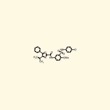 C=C(C)c1nc(C(=O)Nc2ccc(OC)c(S(=O)(=O)Nc3ccc(Cl)cc3)c2)oc1-c1ccccc1